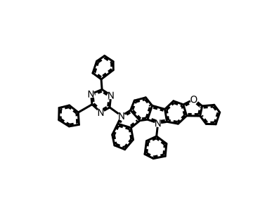 c1ccc(-c2nc(-c3ccccc3)nc(-n3c4ccccc4c4c3ccc3c5cc6oc7ccccc7c6cc5n(-c5ccccc5)c34)n2)cc1